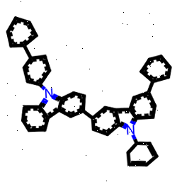 C1=CCC(n2c3ccc(-c4ccccc4)cc3c3cc(-c4ccc5c(c4)c4ccccc4n5-c4ccc(-c5ccccc5)cc4)ccc32)C=C1